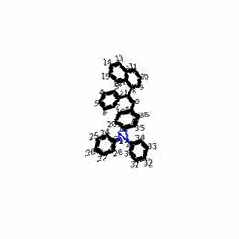 C(=C(c1ccccc1)c1cccc2ccccc12)c1ccc(N(c2ccccc2)c2ccccc2)cc1